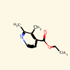 CCOC(=O)c1ccnc(C)c1C